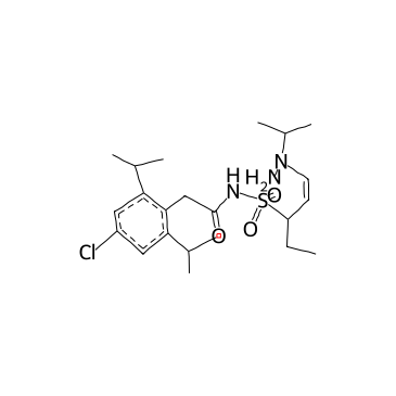 CCC(/C=C\N(N)C(C)C)S(=O)(=O)NC(=O)Cc1c(C(C)C)cc(Cl)cc1C(C)C